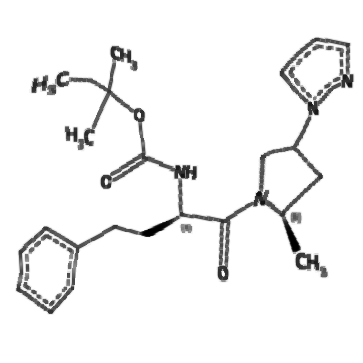 C[C@@H]1CC(n2cccn2)CN1C(=O)[C@@H](CCc1ccccc1)NC(=O)OC(C)(C)C